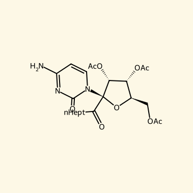 CCCCCCCC(=O)[C@@]1(n2ccc(N)nc2=O)O[C@H](COC(C)=O)[C@@H](OC(C)=O)[C@H]1OC(C)=O